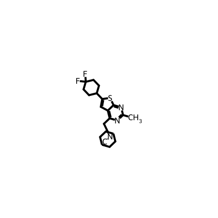 Cc1nc(CN2CC3CCC2CC3)c2cc(C3CCC(F)(F)CC3)sc2n1